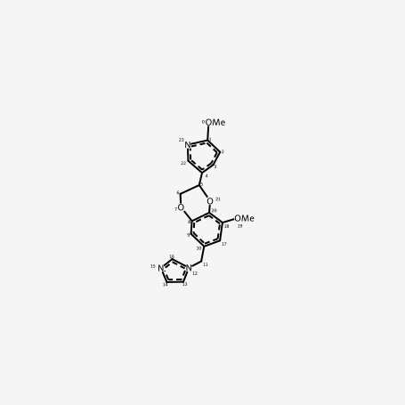 COc1ccc(C2COc3cc(Cn4ccnc4)cc(OC)c3O2)cn1